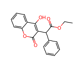 CCOC(=O)C(c1ccccc1)c1c(O)c2ccccc2oc1=O